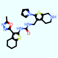 Cc1nnc(-c2c(NC(=O)NCc3c(-n4cccc4)sc4c3CCNC4)sc3c2CCCC3)o1